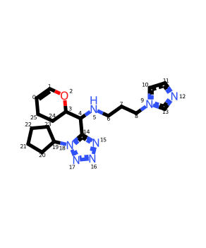 C1=COC(C(NCCCn2ccnc2)c2nnnn2C2CCCC2)CC1